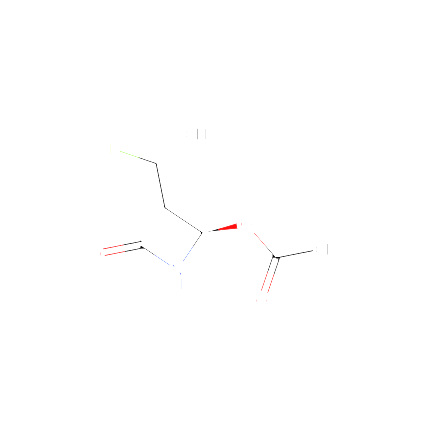 CC(=O)O[C@H]1NC(=O)[C@@H]1[C@@H](C)F